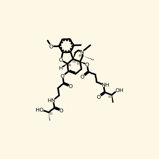 COc1ccc(C)c2c1O[C@H]1C(OC(=O)CCNC(=O)[C@H](C)O)=CC[C@@]3(OC(=O)CCNC(=O)[C@H](C)O)[C@@H](C)N(C)CC[C@]213